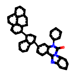 O=c1n(-c2ccccc2)c2cc(-c3ccc(-c4ccc5ccc6cccc7ccc4c5c67)c4ccccc34)ccc2c2nc3ccccc3n12